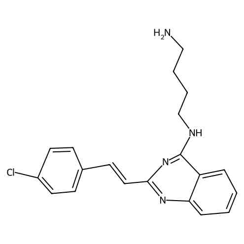 NCCCCNc1nc(C=Cc2ccc(Cl)cc2)nc2ccccc12